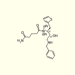 CCC[N+](CCC)(C(=O)CCCC(N)=O)[C@@H](Cc1cccs1)[C@H](O)CNCc1ccccc1